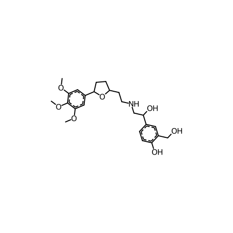 COc1cc(C2CCC(CCNCC(O)c3ccc(O)c(CO)c3)O2)cc(OC)c1OC